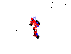 C=CCC(NC(=O)[C@@H]1CCCN1C(=O)[C@@H](NC(=O)OCC(C)(C)C/C=C/c1cc2c(OC)cc(-c3ccccc3)nc2cc1OC)C1CCCC1)C(=O)NS(=O)(=O)C1CC1